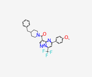 COc1ccc(-c2cc(C(F)(F)F)n3ncc(C(=O)N4CCC(Cc5ccccc5)CC4)c3n2)cc1